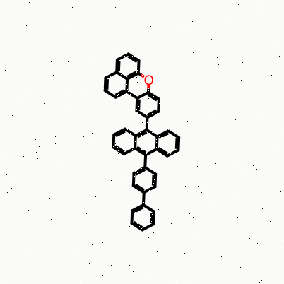 c1ccc(-c2ccc(-c3c4ccccc4c(-c4ccc5c(c4)-c4cccc6cccc(c46)O5)c4ccccc34)cc2)cc1